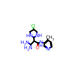 Cc1ccncc1NC(=O)C(C(N)N)C1NCC(Cl)CN1